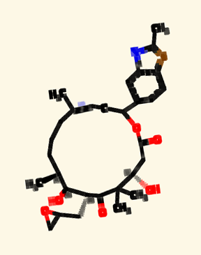 C/C1=C/CC(c2ccc3sc(C)nc3c2)OC(=O)C[C@H](O)C(C)(C)C(=O)[C@H](CC2CO2)[C@@H](O)[C@@H](C)CCC1